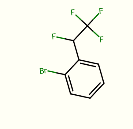 FC(c1ccccc1Br)C(F)(F)F